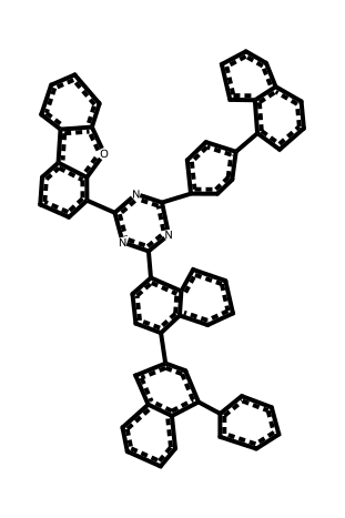 c1ccc(-c2cc(-c3ccc(-c4nc(-c5ccc(-c6cccc7ccccc67)cc5)nc(-c5cccc6c5oc5ccccc56)n4)c4ccccc34)cc3ccccc23)cc1